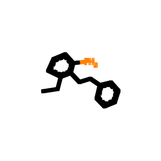 CCc1cccc(P)c1CCc1ccccc1